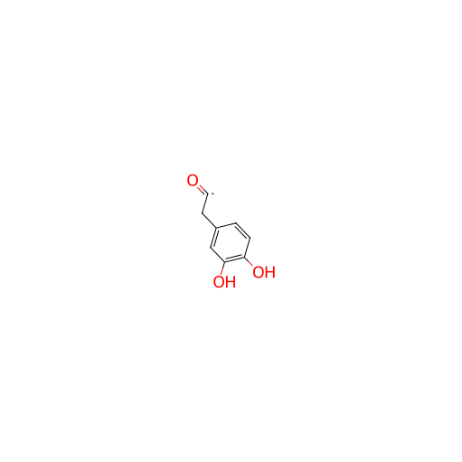 O=[C]Cc1ccc(O)c(O)c1